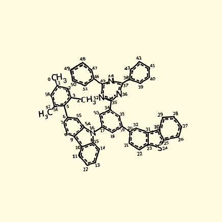 Cc1cc(C)c(-c2ccc3c4ccccc4n(-c4cc(-c5ccc6sc7ccccc7c6c5)cc(-c5nc(-c6ccccc6)nc(-c6ccccc6)n5)c4)c3c2)c(C)c1